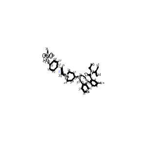 CCN(C(=O)c1cc(F)ccc1N1CCN(C2CCN(/C=C/[C@H]3CC[C@H](NS(C)(=O)=O)CC3)CC2)Cc2ccncc21)C(C)C